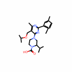 Cc1ccc(C)c(-c2nc(C)c(COC(C)C)c(N3CCN(C(=O)O)C(C(C)C)C3)n2)c1